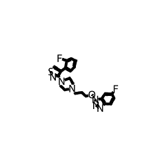 Fc1ccc2nnn(OCCCN3CCN(c4nscc4-c4ccccc4F)CC3)c2c1